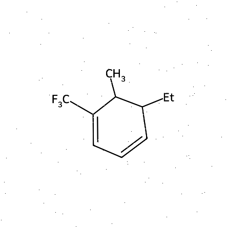 CCC1C=CC=C(C(F)(F)F)C1C